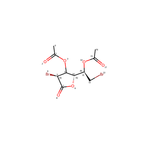 CC(=O)OC1[C@H](Br)C(=O)O[C@H]1[C@H](CBr)OC(C)=O